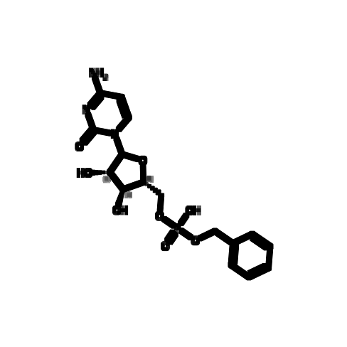 Nc1ccn(C2O[C@H](COP(=O)(O)OCc3ccccc3)[C@@H](O)[C@@H]2O)c(=O)n1